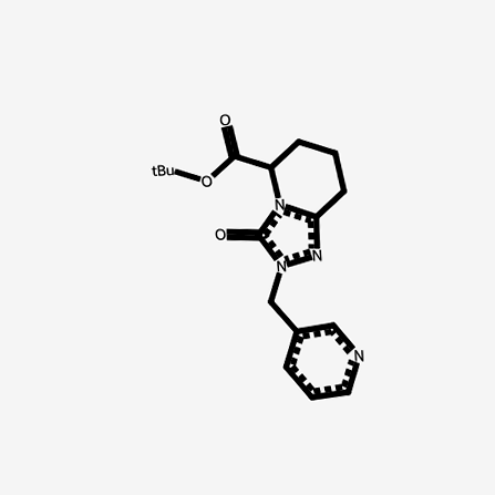 CC(C)(C)OC(=O)C1CCCc2nn(Cc3cccnc3)c(=O)n21